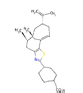 C=C(C)[C@@H]1CC=C2c3sc(C4CCC(C(=O)O)CC4)nc3C[C@@H](C)[C@]2(C)C1